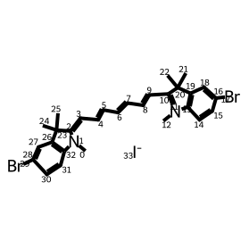 CN1C(=CC=CC=CC=CC2=[N+](C)c3ccc(Br)cc3C2(C)C)C(C)(C)c2cc(Br)ccc21.[I-]